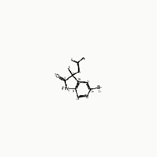 CC(C)CC1(C)C(=O)Nc2ccc(Br)cc21